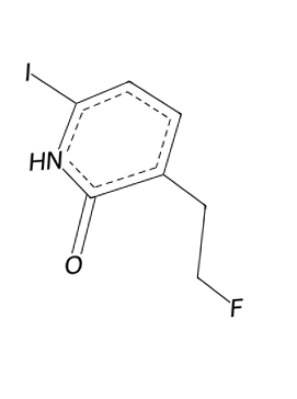 O=c1[nH]c(I)ccc1CCF